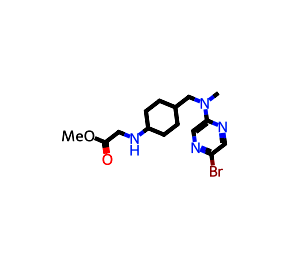 COC(=O)CNC1CCC(CN(C)c2cnc(Br)cn2)CC1